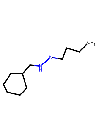 CCCC[N]NCC1CCCCC1